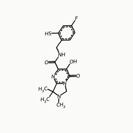 CN1Cn2c(nc(C(=O)NCc3ccc(F)cc3S)c(O)c2=O)C1(C)C